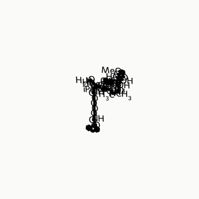 COc1cccc2c1C(=O)c1c(O)c3c(c(O)c1C2=O)C[C@@](O)(C(=N)COC(=O)N(C)CCN(C)C(=O)OCc1ccc(NC(=O)[C@H](CCCNC(N)=O)NC(=O)[C@@H](NC(=O)CCOCCOCCOCCOCCNC(=O)CCC(=O)N2Cc4ccccc4C#Cc4ccccc42)C(C)C)cc1)C[C@@H]3OC1C[C@H]2[C@H](O[C@@H]3[C@@H](OC)OCCN32)[C@H](C)O1